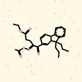 CCCC1(CCC)c2ccccc2C2C=CC(C(=O)/C(CCC(=O)OCC)=N/OC(C)=O)=CC21